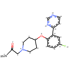 CNC(=O)CN1CCC(Oc2ccc(F)cc2-c2ccncn2)CC1